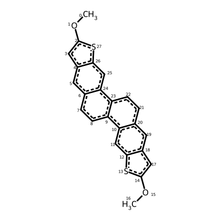 COc1cc2cc3ccc4c5cc6sc(OC)cc6cc5ccc4c3cc2s1